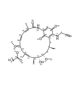 C#CCNC1=C2C[C@@H](C)C[C@H](OC)[C@H](O)[C@@H](C)C=C(C)[C@H](OC(N)=O)[C@@H](OC)C=CC=C(C)C(=O)NC(=CC1=O)C2=O